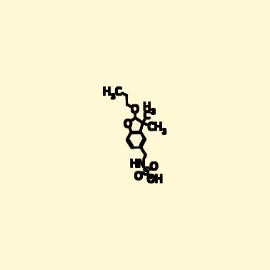 CCCOC1Oc2ccc(CNS(=O)(=O)O)cc2C1(C)C